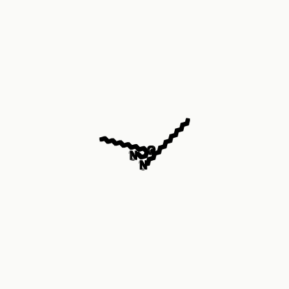 CCCCCCCCCCCCC(CCCN(C)C)OC(CCCCCCCCCCCC)CCCN(C)C